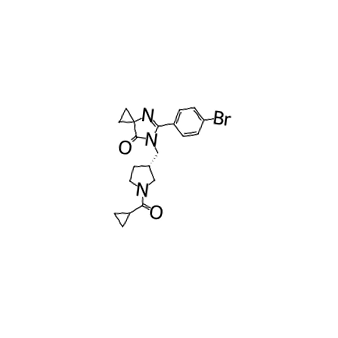 O=C(C1CC1)N1CC[C@H](CN2C(=O)C3(CC3)N=C2c2ccc(Br)cc2)C1